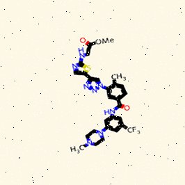 COC(=O)CNc1ncc(-c2cn(-c3cc(C(=O)Nc4cc(N5CCN(C)CC5)cc(C(F)(F)F)c4)ccc3C)nn2)s1